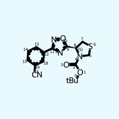 CC(C)(C)OC(=O)N1CSC[C@@H]1c1nc(-c2cccc(C#N)c2)no1